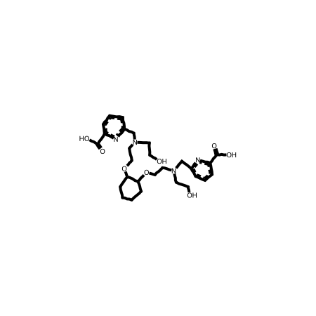 O=C(O)c1cccc(CN(CCO)CCOC2CCCCC2OCCN(CCO)Cc2cccc(C(=O)O)n2)n1